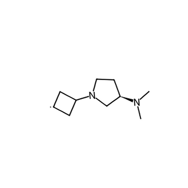 CN(C)[C@@H]1CCN(C2C[CH]C2)C1